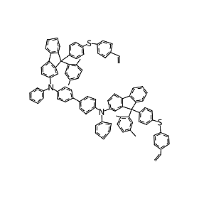 C=Cc1ccc(Sc2ccc(C3(c4cc(C)ccc4C)c4ccccc4-c4ccc(N(c5ccccc5)c5ccc(-c6ccc(N(c7ccccc7)c7ccc8c(c7)C(c7ccc(Sc9ccc(C=C)cc9)cc7)(c7cc(C)ccc7C)c7ccccc7-8)cc6)cc5)cc43)cc2)cc1